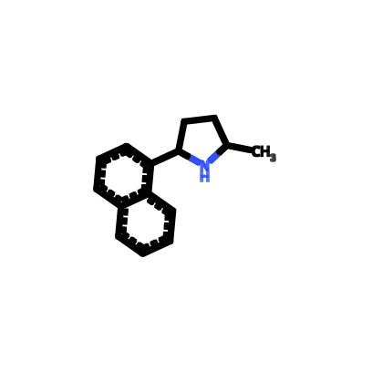 CC1CCC(c2cccc3ccccc23)N1